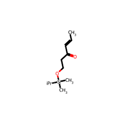 CC=CC(=O)CCO[Si](C)(C)C(C)C